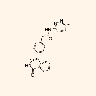 Cc1ccc(NC(=O)Cc2ccc(-c3n[nH]c(=O)c4ccccc34)cc2)nn1